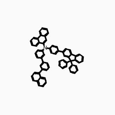 c1ccc(C2(c3ccccc3)c3ccccc3-c3ccc(-c4ccc(N(c5cccc(-c6cccc(-c7cccc8ccccc78)c6)c5)c5cc6ccccc6c6ccccc56)cc4)cc32)cc1